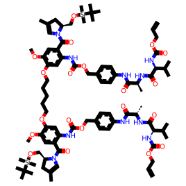 C=CCOC(=O)N[C@H](C(=O)N[C@@H](C)C(=O)Nc1ccc(COC(=O)Nc2cc(OCCCCCOc3cc(NC(=O)OCc4ccc(NC(=O)[C@H](C)NC(=O)[C@@H](NC(=O)OCC=C)C(C)C)cc4)c(C(=O)N4C=C(C)C[C@H]4CO[Si](C)(C)C(C)(C)C)cc3OC)c(OC)cc2C(=O)N2C=C(C)C[C@H]2CO[Si](C)(C)C(C)(C)C)cc1)C(C)C